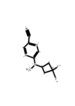 CN(c1cnc(C#N)cn1)C1CC(F)(F)C1